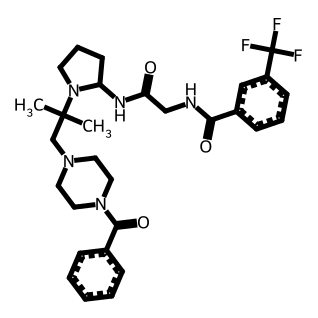 CC(C)(CN1CCN(C(=O)c2ccccc2)CC1)N1CCCC1NC(=O)CNC(=O)c1cccc(C(F)(F)F)c1